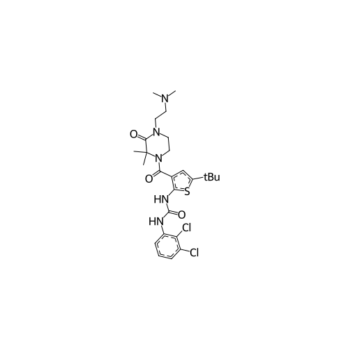 CN(C)CCN1CCN(C(=O)c2cc(C(C)(C)C)sc2NC(=O)Nc2cccc(Cl)c2Cl)C(C)(C)C1=O